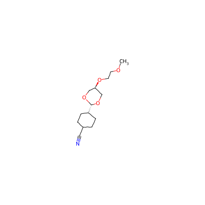 COCCO[C@H]1CO[C@H](C2CCC(C#N)CC2)OC1